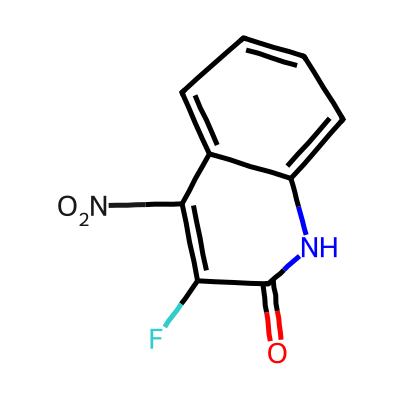 O=c1[nH]c2ccccc2c([N+](=O)[O-])c1F